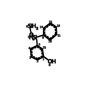 Oc1cccc([SiH](O[SiH3])c2ccccc2)c1